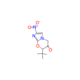 CC(C)(C)C1Oc2nc([N+](=O)[O-])cn2CC1=O